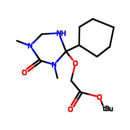 CN1CNC(OCC(=O)OC(C)(C)C)(C2CCCCC2)N(C)C1=O